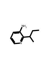 CCC(C)c1ncccc1N